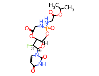 CC(C)OC(=O)CNP1(=O)NCC(=O)OC2[C@@H](CO1)O[C@@H](n1ccc(=O)[nH]c1=O)[C@H]2F